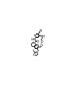 COC[C@@H](C)Nc1cc(NC(=O)N2CCCc3cc(CN4CCOC4=S)c(C=O)nc32)ncc1C#N